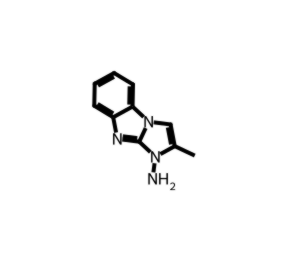 Cc1cn2c3ccccc3nc2n1N